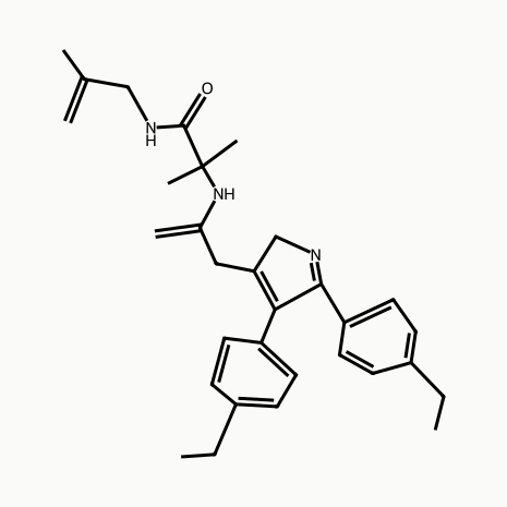 C=C(C)CNC(=O)C(C)(C)NC(=C)CC1=C(c2ccc(CC)cc2)C(c2ccc(CC)cc2)=NC1